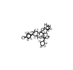 CC1(C)CN(C(=O)[C@@H](Cc2cnc[nH]2)NC(=O)C2CCCC2)CCC1c1ccc(Cl)cc1